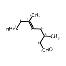 CCCCCCCC(C)=CCC(C)CC=O